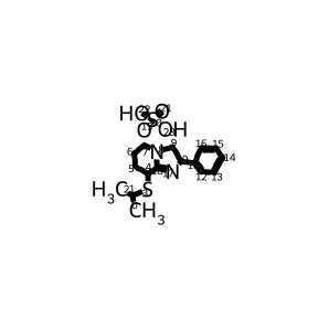 CC(C)SC1CCCN2CC(c3ccccc3)N=C12.O=S(=O)(O)O